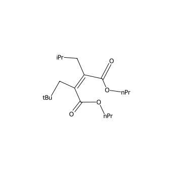 CCCOC(=O)C(CC(C)C)=C(CC(C)(C)C)C(=O)OCCC